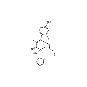 CCCCC12Cc3cc(O)ccc3C1=C(C)C(=O)C(C)(C(=O)[C@H]1CCCN1)C2